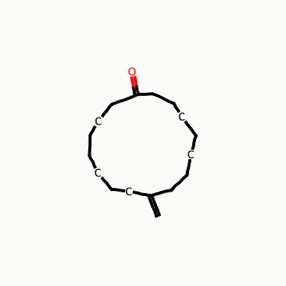 C=C1CCCCCCCC(=O)CCCCCCC1